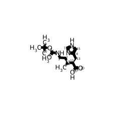 CN(CCNC(=O)OC(C)(C)C)[C@@H](Cc1c[nH]cn1)C(=O)O